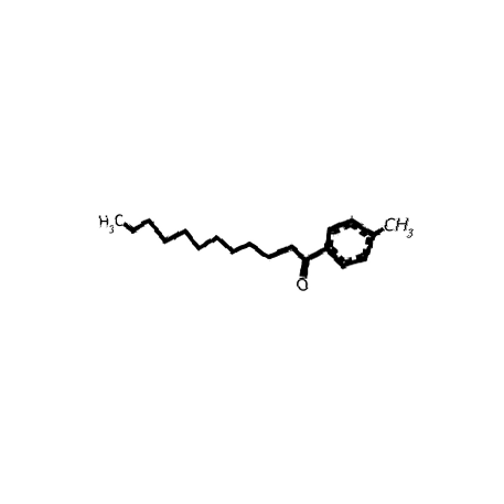 CCCCCCCCCCCC(=O)c1c[c]c(C)cc1